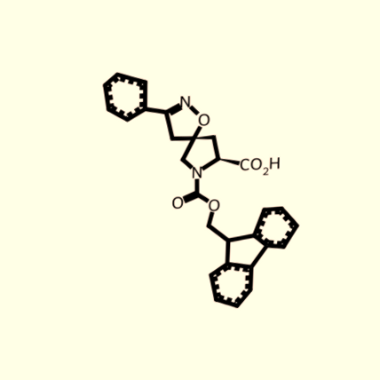 O=C(O)[C@@H]1C[C@]2(CC(c3ccccc3)=NO2)CN1C(=O)OCC1c2ccccc2-c2ccccc21